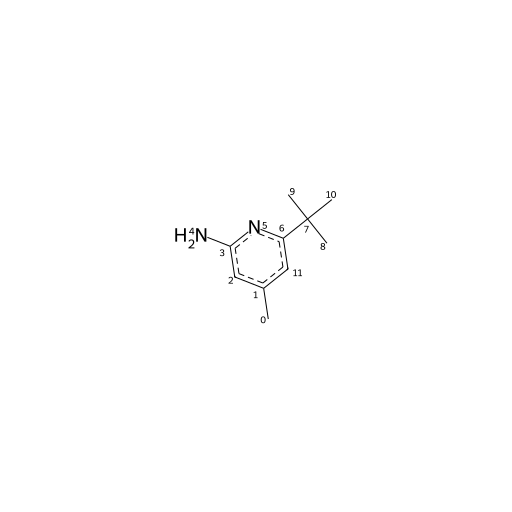 Cc1cc(N)nc(C(C)(C)C)c1